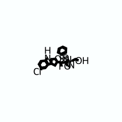 O=S(=O)(c1ccccc1)C(F)(c1nc(CO)no1)C1Cc2[nH]c3ccc(Cl)cc3c2C1